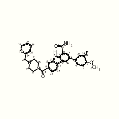 COc1ccc(-c2cc(C(N)=O)c3[nH]c4cc(C(=O)N5CCN(Cc6ccccn6)CC5)ccc4c3c2)cc1F